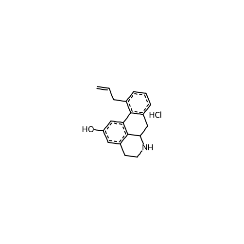 C=CCc1cccc2c1-c1cc(O)cc3c1C(C2)NCC3.Cl